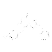 Cc1cc(=O)n2nc(Sc3ccccc3)nc2n1Cc1ccc(Cl)nc1